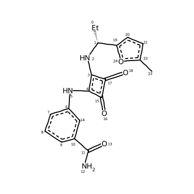 CC[C@@H](Nc1c(Nc2cccc(C(N)=O)c2)c(=O)c1=O)c1ccc(C)o1